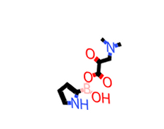 CN(C)CC(=O)C(=O)OB(O)c1ccc[nH]1